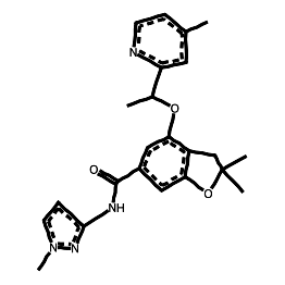 Cc1ccnc(C(C)Oc2cc(C(=O)Nc3ccn(C)n3)cc3c2CC(C)(C)O3)c1